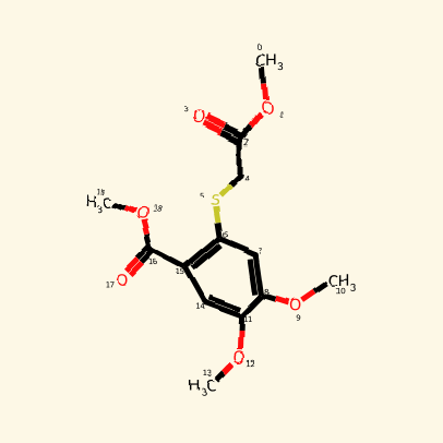 COC(=O)CSc1cc(OC)c(OC)cc1C(=O)OC